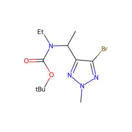 CCN(C(=O)OC(C)(C)C)C(C)c1nn(C)nc1Br